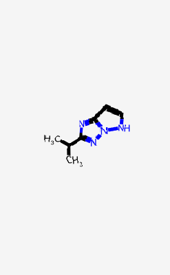 CC(C)c1nc2cc[nH]n2n1